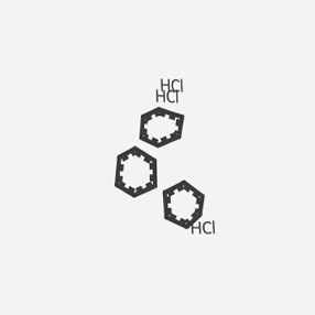 Cl.Cl.Cl.c1ccccc1.c1ccccc1.c1ccccc1